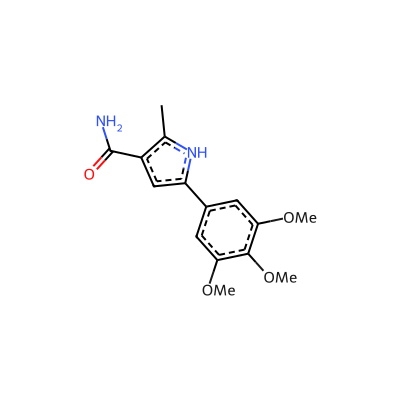 COc1cc(-c2cc(C(N)=O)c(C)[nH]2)cc(OC)c1OC